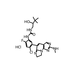 CNc1ncc2c(n1)N1CCN=C1C(c1cc(NC(=O)NCC(O)C(C)(C)C)c(F)cc1Cl)=C2.Cl